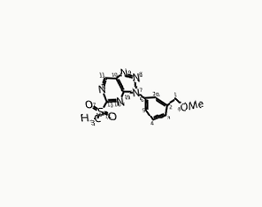 COCc1cccc(-n2nnc3cnc(S(C)(=O)=O)nc32)c1